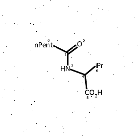 CCCCCC(=O)NC(C(=O)O)C(C)C